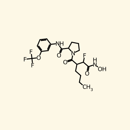 CCCCC(C(=O)N1CCCC1C(=O)Nc1cccc(OC(F)(F)F)c1)C(F)C(=O)NO